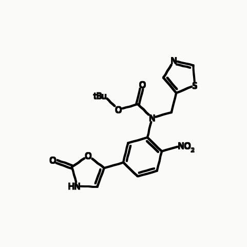 CC(C)(C)OC(=O)N(Cc1cncs1)c1cc(-c2c[nH]c(=O)o2)ccc1[N+](=O)[O-]